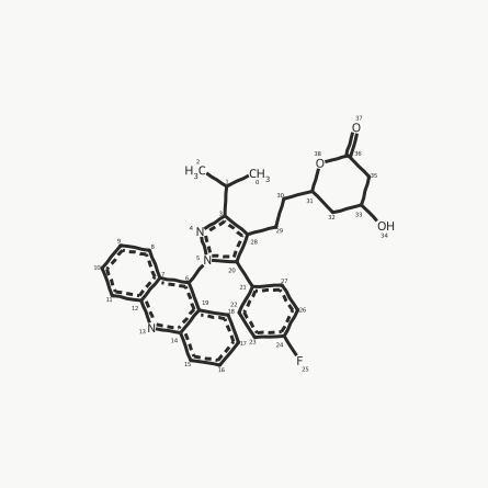 CC(C)c1nn(-c2c3ccccc3nc3ccccc23)c(-c2ccc(F)cc2)c1CCC1CC(O)CC(=O)O1